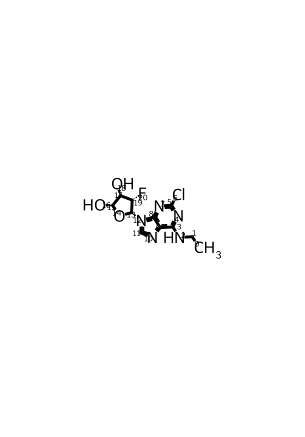 CCNc1nc(Cl)nc2c1ncn2[C@@H]1O[C@@H](O)[C@@H](O)[C@@H]1F